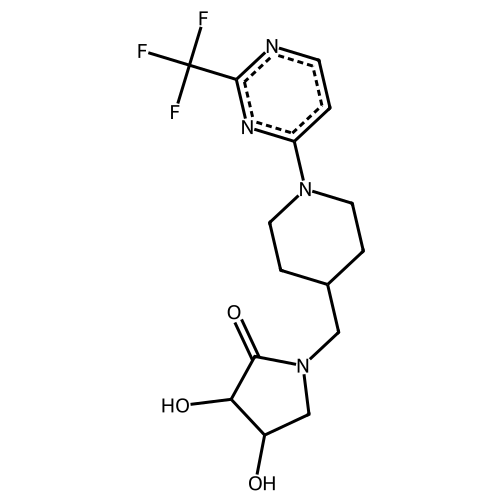 O=C1C(O)C(O)CN1CC1CCN(c2ccnc(C(F)(F)F)n2)CC1